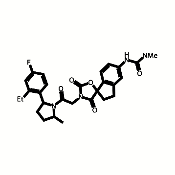 CCc1cc(F)ccc1C1CCC(C)N1C(=O)CN1C(=O)OC2(CCc3cc(NC(=O)NC)ccc32)C1=O